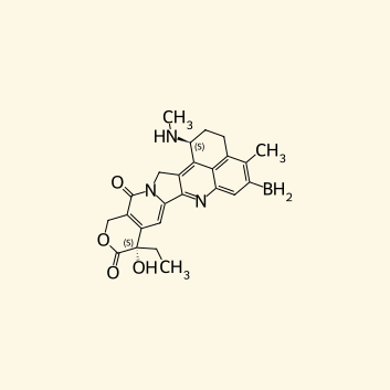 Bc1cc2nc3c(c4c2c(c1C)CC[C@@H]4NC)Cn1c-3cc2c(c1=O)COC(=O)[C@]2(O)CC